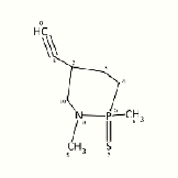 C#CC1CCP(C)(=S)N(C)C1